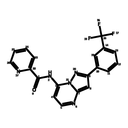 O=C(Nc1ccnc2cc(-c3cccc(C(F)(F)F)c3)nn12)c1ccccn1